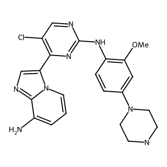 COc1cc(N2CC[N]CC2)ccc1Nc1ncc(Cl)c(-c2cnc3c(N)cccn23)n1